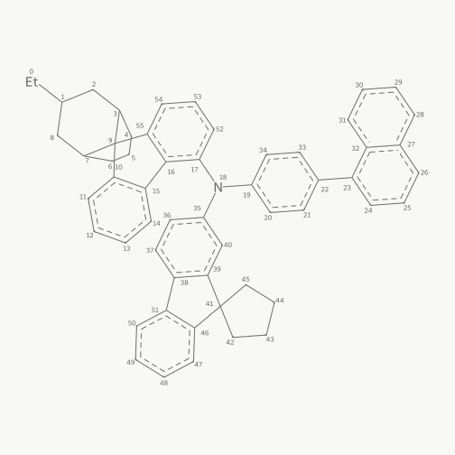 CCC1CC2CCCC(C1)C21c2ccccc2-c2c(N(c3ccc(-c4cccc5ccccc45)cc3)c3ccc4c(c3)C3(CCCC3)c3ccccc3-4)cccc21